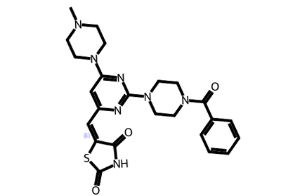 CN1CCN(c2cc(/C=C3/SC(=O)NC3=O)nc(N3CCN(C(=O)c4ccccc4)CC3)n2)CC1